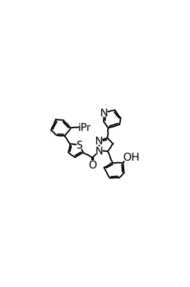 CC(C)c1ccccc1-c1ccc(C(=O)N2N=C(c3cccnc3)CC2c2ccccc2O)s1